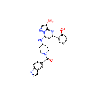 Bc1cnn2c(NC3CCN(C(=O)c4ccc5[nH]ccc5c4)CC3)cc(-c3ccccc3O)nc12